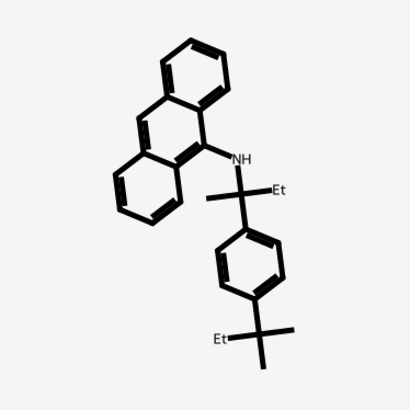 CCC(C)(C)c1ccc(C(C)(CC)Nc2c3ccccc3cc3ccccc23)cc1